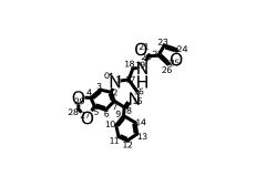 CN1c2cc3c(cc2C(c2ccccc2)=NCC1CNC(=O)c1ccoc1)OCO3